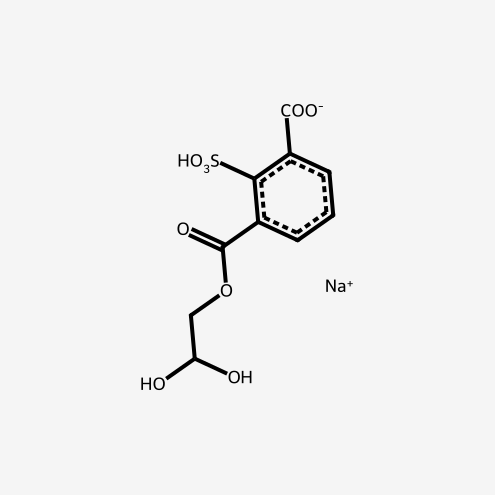 O=C([O-])c1cccc(C(=O)OCC(O)O)c1S(=O)(=O)O.[Na+]